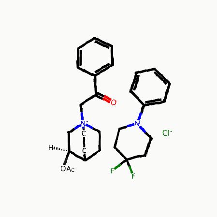 CC(=O)O[C@H]1C[N+]2(CC(=O)c3ccccc3)CCC1CC2.FC1(F)CCN(c2ccccc2)CC1.[Cl-]